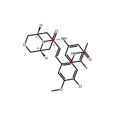 COc1cc(/C=C/C(=O)N2[C@@H]3COC[C@H]2C[C@@H](Nc2ccc(F)cc2)C3)c(NC(C)=O)cc1Cl